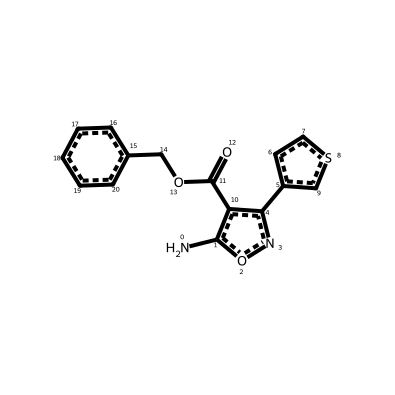 Nc1onc(-c2ccsc2)c1C(=O)OCc1ccccc1